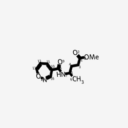 COC(=O)CCC(C)NC(=O)C1=CC=CON=C1